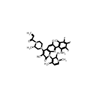 C=CC(=O)N1CCN(c2c(C#N)c(=O)n(C3=C(C)C=CN(C)C3C(C)C)c3nc(-c4c(N)c(F)c(F)c(F)c4Cl)c(Cl)cc23)C[C@H]1C